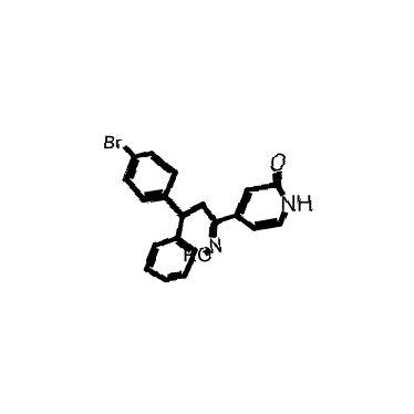 O=c1cc(/C(CC(c2ccccc2)c2ccc(Br)cc2)=N/O)cc[nH]1